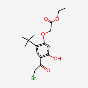 CCOC(=O)COc1cc(O)c(C(=O)CBr)cc1C(C)(C)C